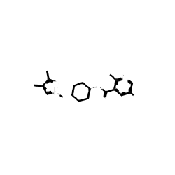 Cc1cn(C[C@H]2CC[C@H](NC(=O)c3cc(Cl)cnc3C)CC2)nc1C